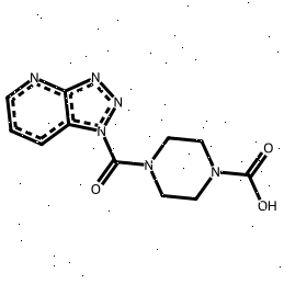 O=C(O)N1CCN(C(=O)n2nnc3ncccc32)CC1